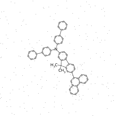 CC1(C)c2cc(-c3cc4ccccc4c4ccccc34)ccc2-c2ccc(N(c3ccc(-c4ccccc4)cc3)c3ccc(-c4ccccc4)cc3)cc21